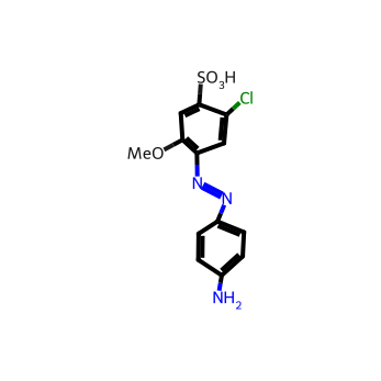 COc1cc(S(=O)(=O)O)c(Cl)cc1N=Nc1ccc(N)cc1